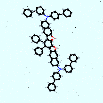 c1ccc(-c2ccc(N(c3cccc(-c4ccccc4)c3)c3ccc4cc5c(cc4c3)oc3c4oc6cc7cc(N(c8ccc(-c9ccccc9)cc8)c8cccc(-c9ccccc9)c8)ccc7cc6c4c(-c4ccccc4)c(-c4ccccc4)c53)cc2)cc1